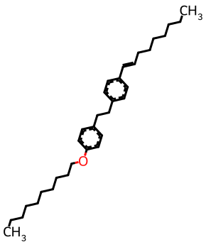 CCCCCCCC=Cc1ccc(CCc2ccc(OCCCCCCCCCC)cc2)cc1